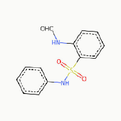 O=CNc1ccccc1S(=O)(=O)Nc1ccccc1